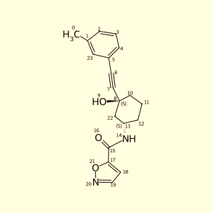 Cc1cccc(C#C[C@]2(O)CCC[C@H](NC(=O)c3ccno3)C2)c1